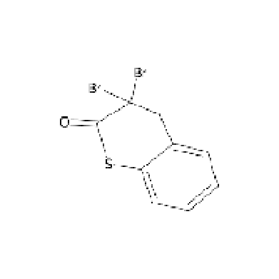 O=C1Sc2ccccc2CC1(Br)Br